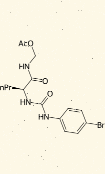 CCC[C@H](NC(=O)Nc1ccc(Br)cc1)C(=O)NCOC(C)=O